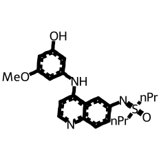 CCCS(=O)(CCC)=Nc1ccc2nccc(Nc3cc(O)cc(OC)c3)c2c1